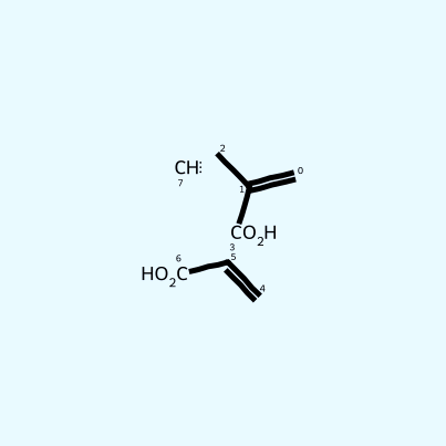 C=C(C)C(=O)O.C=CC(=O)O.[CH]